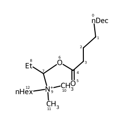 CCCCCCCCCCCCCC(=O)OC(CC)[N+](C)(C)CCCCCC